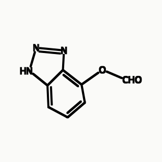 O=COc1cccc2[nH]nnc12